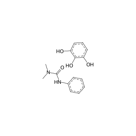 CN(C)C(=O)Nc1ccccc1.Oc1cccc(O)c1O